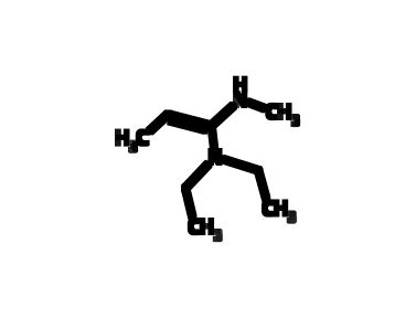 CC=C(NC)N(CC)CC